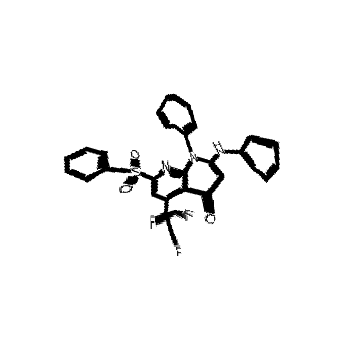 O=c1cc(Nc2ccccc2)n(-c2ccccc2)c2nc(S(=O)(=O)c3ccccc3)cc(C(F)(F)F)c12